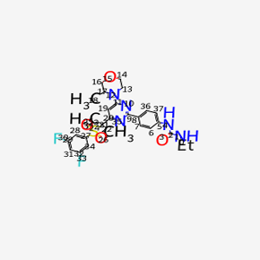 CCNC(=O)Nc1ccc(-c2nc(N3CCOC[C@@H]3C)cc(C(C)(C)S(=O)(=O)c3cc(F)cc(F)c3)n2)cc1